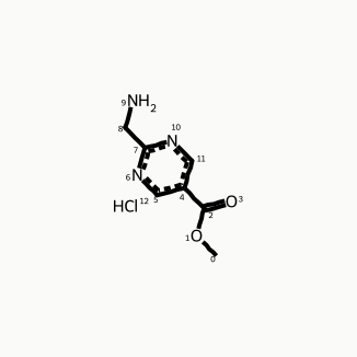 COC(=O)c1cnc(CN)nc1.Cl